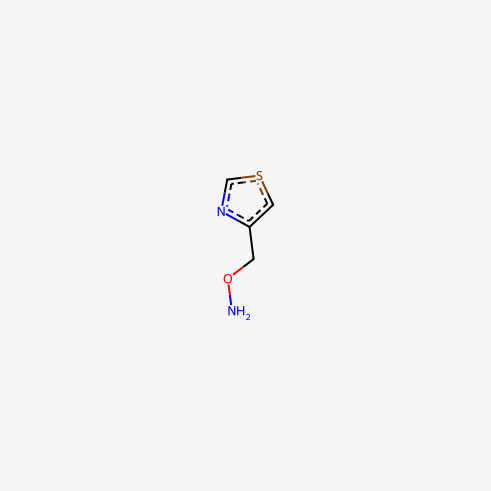 NOCc1cscn1